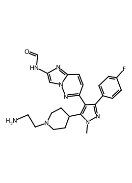 Cn1nc(-c2ccc(F)cc2)c(-c2ccc3nc(NC=O)cn3n2)c1C1CCN(CCN)CC1